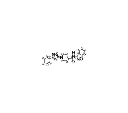 O=C(Nc1noc2ncccc12)N1CCN(c2nc(-c3ccccc3)ns2)CC1